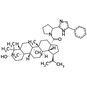 C=C(C)[C@@H]1CC[C@]2(C(=O)N3CCCC3c3ncc(-c4ccccc4)[nH]3)CC[C@]3(C)[C@H](CC[C@@H]4[C@@]5(C)CC[C@H](O)C(C)(C)[C@@H]5CC[C@]43C)[C@@H]12